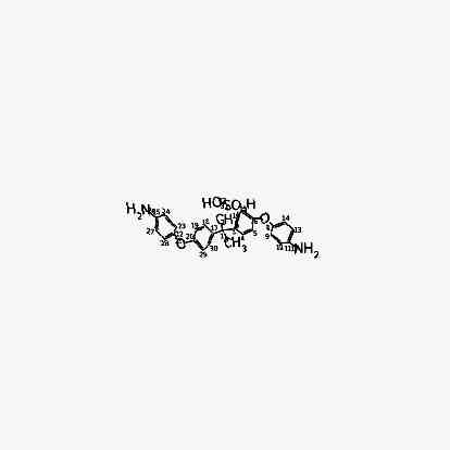 CC(C)(c1ccc(Oc2ccc(N)cc2)cc1)c1ccc(Oc2ccc(N)cc2)cc1.O=S(=O)(O)O